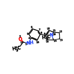 CC(=O)Nc1cccc(C2=CC3CCC(C2)N3C)c1